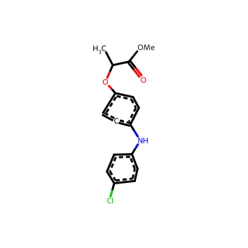 COC(=O)C(C)Oc1ccc(Nc2ccc(Cl)cc2)cc1